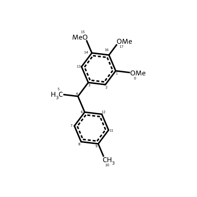 COc1cc(C(C)c2ccc(C)cc2)cc(OC)c1OC